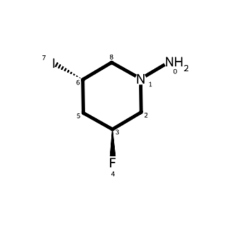 NN1C[C@@H](F)C[C@H](I)C1